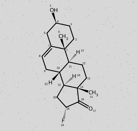 C[C@]12CC[C@H](O)CC1=CC[C@@H]1[C@@H]2CC[C@]2(C)C(=O)[C@H](F)C[C@@H]12